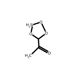 CC(=O)C1OO[SiH2]O1